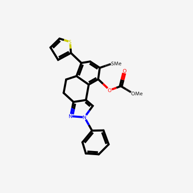 COC(=O)Oc1c(SC)cc(-c2cccs2)c2c1-c1cn(-c3ccccc3)nc1CC2